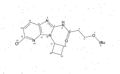 CC(C)(C)OCCC(=O)Nc1nc2ccc(Cl)nc2n1C1CCC1